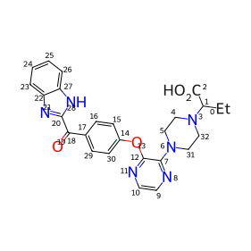 CCC(C(=O)O)N1CCN(c2nccnc2Oc2ccc(C(=O)c3nc4ccccc4[nH]3)cc2)CC1